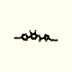 CCCCCCCCCCc1cnc(-c2ccc(OC(=O)c3ccc(CCCCC)o3)c(F)c2F)nc1